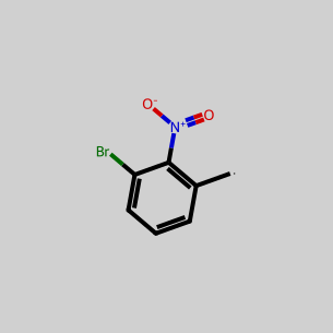 [CH2]c1cccc(Br)c1[N+](=O)[O-]